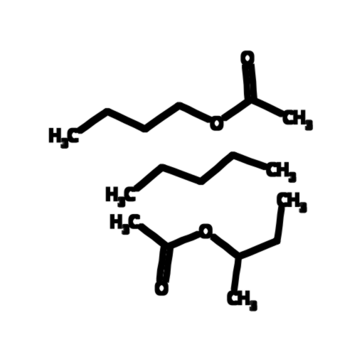 CCC(C)OC(C)=O.CCCCC.CCCCOC(C)=O